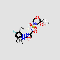 Cc1cc(F)c(C(C)C)cc1Nc1nc(C(=O)NS(=O)(=O)N2CCOCC(C)(O)C2)co1